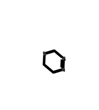 C1CSCN=N1